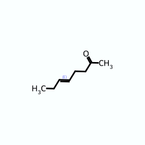 CC/C=C/CCC(C)=O